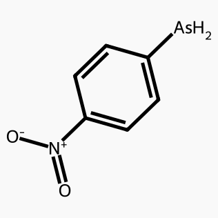 O=[N+]([O-])c1ccc([AsH2])cc1